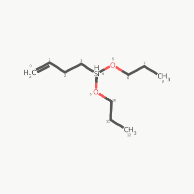 C=CCC[SiH](OCCC)OCCC